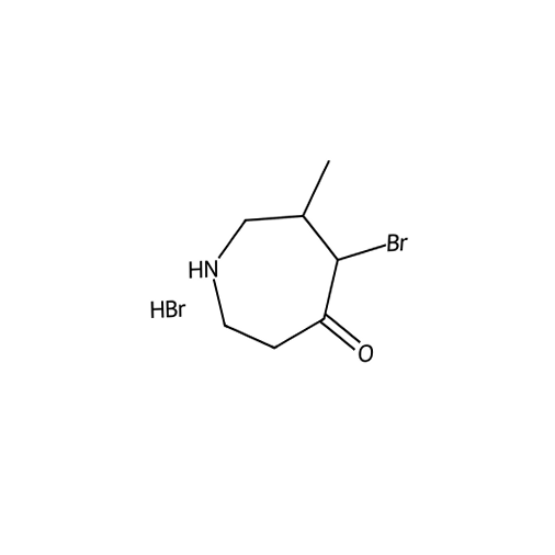 Br.CC1CNCCC(=O)C1Br